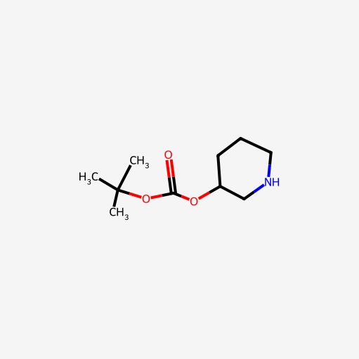 CC(C)(C)OC(=O)OC1CCCNC1